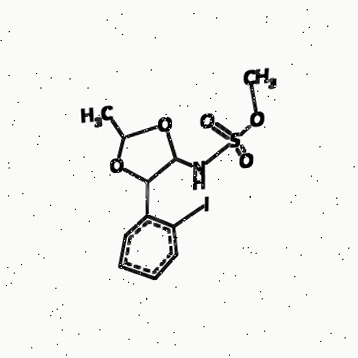 COS(=O)(=O)NC1OC(C)OC1c1ccccc1I